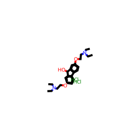 CCN(CC)CCOc1ccc2c(c1)C(O)c1cc(OCCN(CC)CC)ccc1-2.Cl.Cl